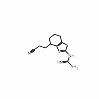 N#CCCC1CCCc2sc(NC(=N)N)nc21